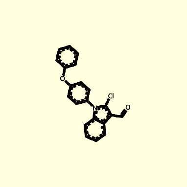 O=Cc1c(Cl)n(-c2ccc(Oc3ccccc3)cc2)c2ccccc12